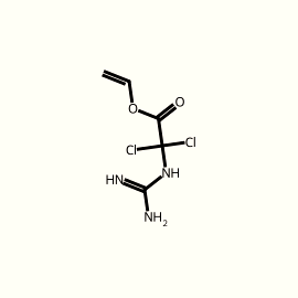 C=COC(=O)C(Cl)(Cl)NC(=N)N